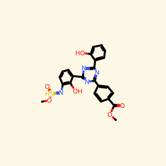 COC(=O)c1ccc(-c2nc(-c3ccccc3O)nc(-c3cccc(N=[SH](=O)OC)c3O)n2)cc1